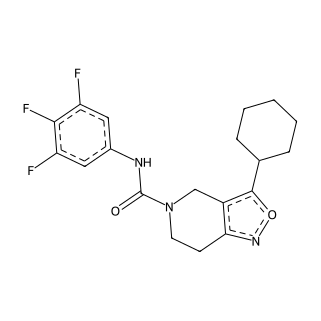 O=C(Nc1cc(F)c(F)c(F)c1)N1CCc2noc(C3CCCCC3)c2C1